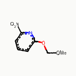 COCOc1cccc([N+](=O)[O-])n1